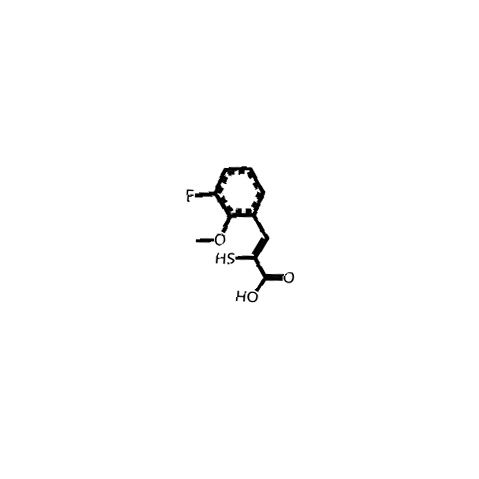 COc1c(F)cccc1C=C(S)C(=O)O